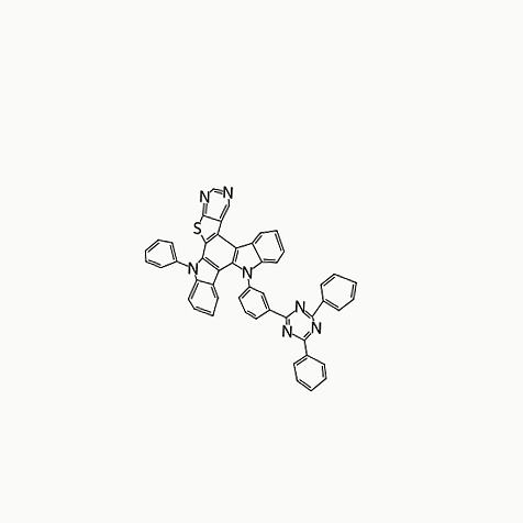 c1ccc(-c2nc(-c3ccccc3)nc(-c3cccc(-n4c5ccccc5c5c6c7cncnc7sc6c6c(c7ccccc7n6-c6ccccc6)c54)c3)n2)cc1